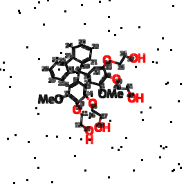 COc1cc(C2(c3cc(OC)c(OCCO)c(OCCO)c3)c3ccccc3-c3ccccc32)cc(OCCO)c1OCCO